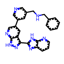 c1ccc(CNCc2cncc(-c3cnc4[nH]nc(-c5nc6cccnc6[nH]5)c4c3)c2)cc1